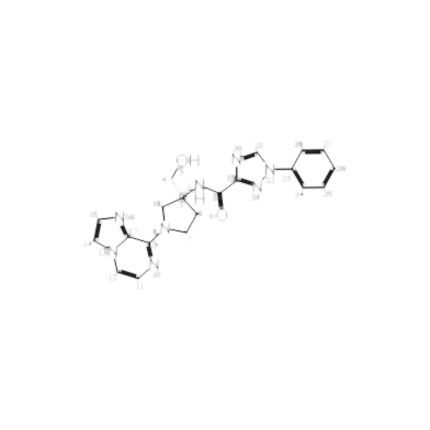 O=C(N[C@@]1(CO)CCN(c2nccn3ccnc23)C1)c1ncn(-c2ccccc2)n1